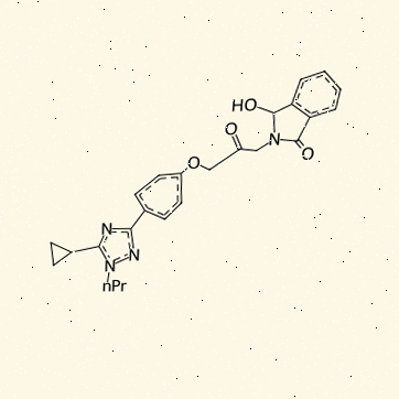 CCCn1nc(-c2ccc(OCC(=O)CN3C(=O)c4ccccc4C3O)cc2)nc1C1CC1